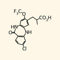 CC(Cc1cc2c(cc1OC(F)(F)F)NC(=O)c1ccc(Cl)cc1N2)C(=O)O